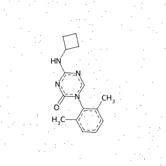 Cc1cccc(C)c1-n1cnc(NC2CCC2)nc1=O